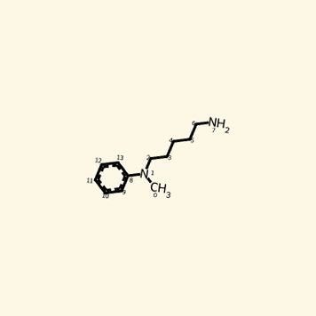 CN(CCCCCN)c1ccccc1